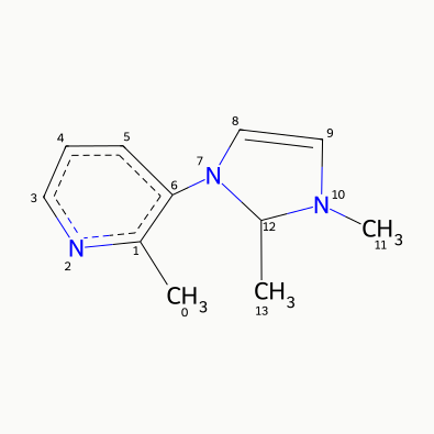 Cc1ncccc1N1C=CN(C)C1C